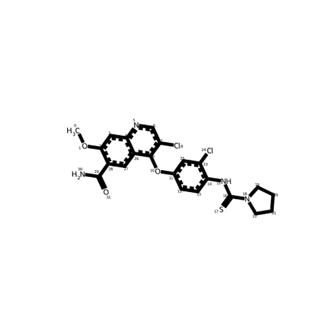 COc1cc2ncc(Cl)c(Oc3ccc(NC(=S)N4CCCC4)c(Cl)c3)c2cc1C(N)=O